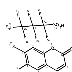 Cc1cc2ccc(=O)oc2cc1S.O=S(=O)(O)C(F)(F)C(F)(F)C(F)(F)C(F)(F)F